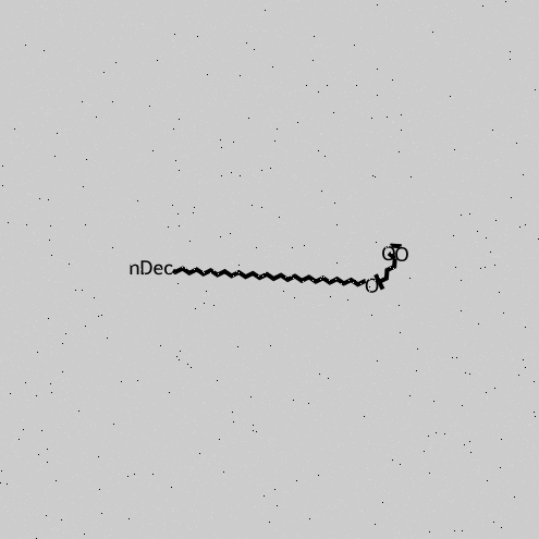 CCCCCCCCCCCCCCCCCCCCCCCCCCCCCCCCCCCCCCOC(C)(C)CCCC1OCCO1